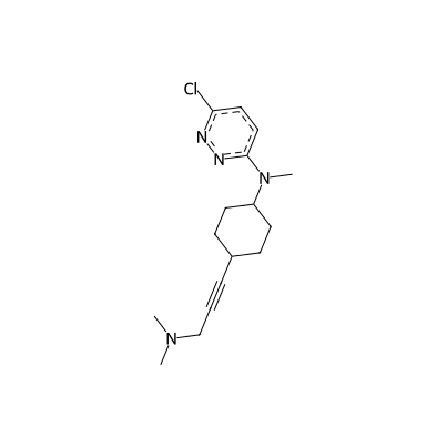 CN(C)CC#CC1CCC(N(C)c2ccc(Cl)nn2)CC1